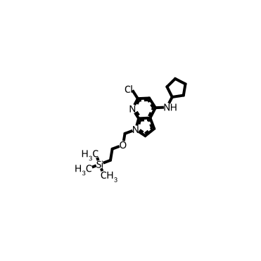 C[Si](C)(C)CCOCn1ccc2c(NC3CCCC3)cc(Cl)nc21